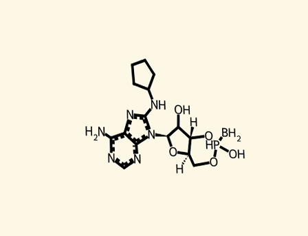 B[PH]1(O)OC[C@H]2O[C@@H](n3c(NC4CCCC4)nc4c(N)ncnc43)C(O)[C@@H]2O1